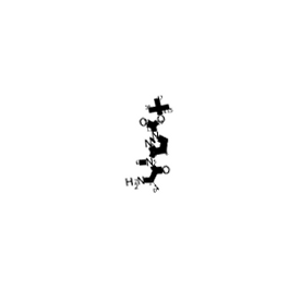 C[C@H](N)C(=O)N(C)c1ccn(C(=O)OC(C)(C)C)n1